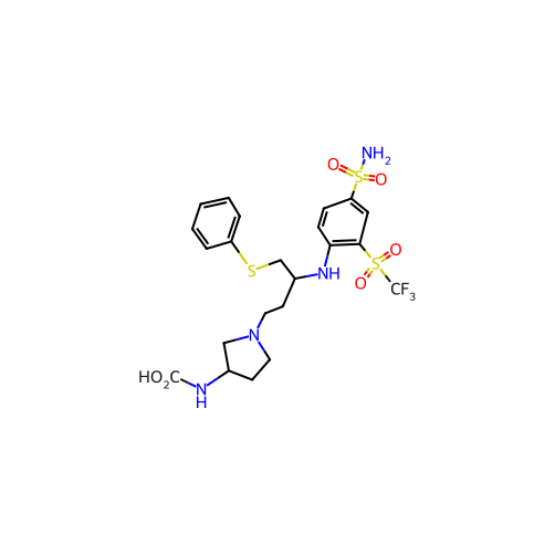 NS(=O)(=O)c1ccc(NC(CCN2CCC(NC(=O)O)C2)CSc2ccccc2)c(S(=O)(=O)C(F)(F)F)c1